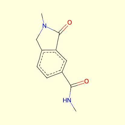 CNC(=O)c1ccc2c(c1)C(=O)N(C)C2